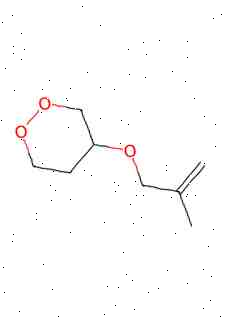 C=C(C)COC1CCOOC1